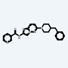 O=C(Nc1cn2nc(N3CCC(Cc4ccccc4)CC3)ccc2n1)c1cccnc1